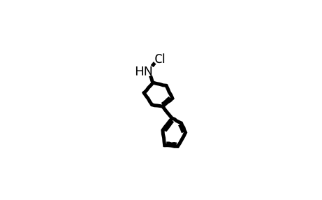 ClNC1CC=C(c2ccccc2)CC1